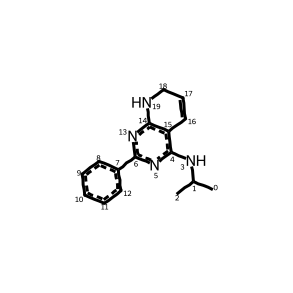 CC(C)Nc1nc(-c2ccccc2)nc2c1C=CCN2